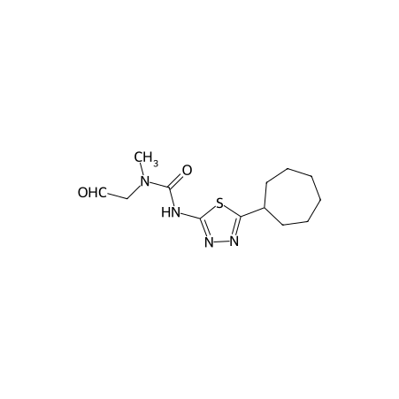 CN(CC=O)C(=O)Nc1nnc(C2CCCCCC2)s1